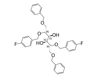 O[C@@H]([C@H](O)[C@@H](COCc1ccccc1)OCc1ccc(F)cc1)[C@@H](COCc1ccccc1)OCc1ccc(F)cc1